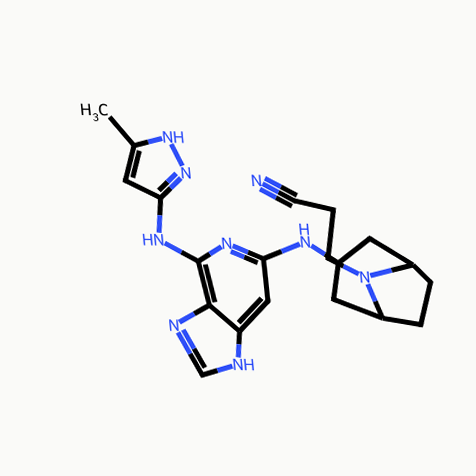 Cc1cc(Nc2nc(NC3CC4CCC(C3)N4CCC#N)cc3[nH]cnc23)n[nH]1